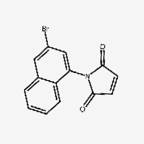 O=C1C=CC(=O)N1c1cc(Br)cc2ccccc12